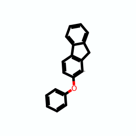 [c]1c(Oc2ccccc2)ccc2c1Cc1ccccc1-2